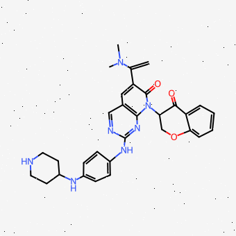 C=C(c1cc2cnc(Nc3ccc(NC4CCNCC4)cc3)nc2n(C2COc3ccccc3C2=O)c1=O)N(C)C